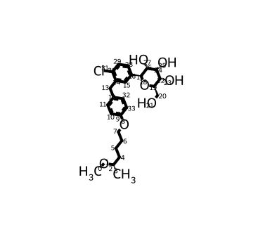 CO[C@@H](C)CCCCOc1ccc(Cc2cc([C@@H]3O[C@H](CO)[C@@H](O)[C@H](O)[C@H]3O)ccc2Cl)cc1